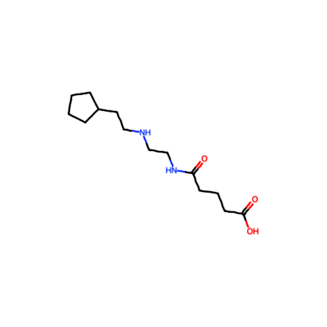 O=C(O)CCCC(=O)NCCNCCC1CCCC1